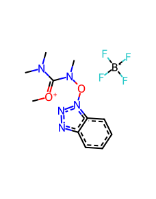 C[O+]=C(N(C)C)N(C)On1nnc2ccccc21.F[B-](F)(F)F